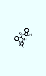 Cc1cc(NC(C(=O)c2c[nH]c3ccccc23)c2ccccc2)no1